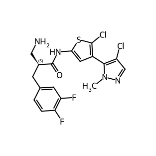 Cn1ncc(Cl)c1-c1cc(NC(=O)[C@H](CN)Cc2ccc(F)c(F)c2)sc1Cl